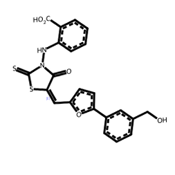 O=C(O)c1ccccc1NN1C(=O)/C(=C\c2ccc(-c3cccc(CO)c3)o2)SC1=S